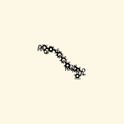 CN(C)C(=O)c1cc2cnc(Nc3ccc(N4CCC(N5CCC(F)(CCc6ccc(C7CCC(=O)NC7=O)c(F)c6)CC5)CC4)cn3)nc2n1C1CCCC1